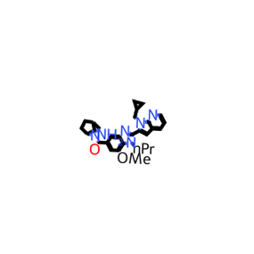 CCCn1c(-c2cc3cccnc3n2CC2CC2)nc2cc(C(=O)N3CC4CCC3C4N)cc(OC)c21